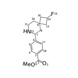 COC(=O)c1ccc(C2CC3(CCN2)CC(F)C3)cc1